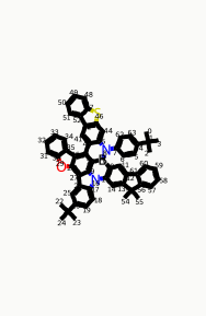 CC(C)(C)c1ccc(N2B3c4cc5c(cc4-n4c6ccc(C(C)(C)C)cc6c6c7oc8ccccc8c7c(c3c64)-c3cc4c(cc32)sc2ccccc24)C(C)(C)c2ccccc2-5)cc1